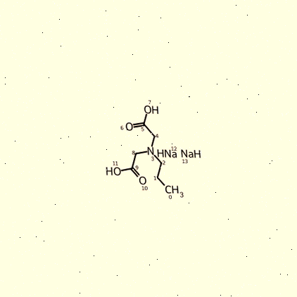 CCCN(CC(=O)O)CC(=O)O.[NaH].[NaH]